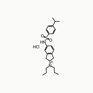 CCCN(CCC)[C@@H]1Cc2ccc(NS(=O)(=O)c3ccc(C(C)C)cc3)cc2C1.Cl